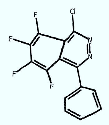 Fc1c(F)c(F)c2c(-c3ccccc3)nnc(Cl)c2c1F